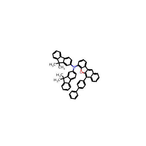 CC1(C)c2ccccc2-c2ccc(N(c3ccc4c(c3)C(C)(C)c3ccccc3-4)c3cccc4c3oc3c(-c5ccc(-c6ccccc6)cc5)c5ccccc5cc34)cc21